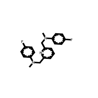 CN(Cc1cccc(CN(C)c2ccc(F)cc2)n1)c1ccc(F)cc1